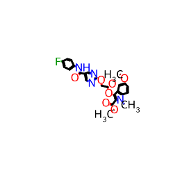 COC(=O)c1c(OC(=O)COc2ncc(C(=O)Nc3ccc(F)cc3)cn2)c2cc(OC)ccc2n1C